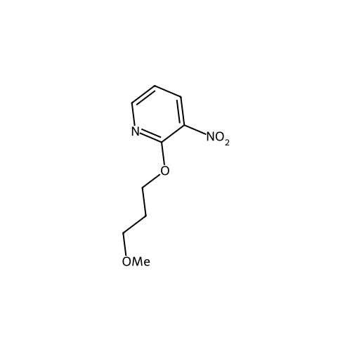 COCCCOc1ncccc1[N+](=O)[O-]